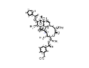 CO[C@H]1CC2C=C[C@]3(C)[C@H]4[C@H](O)[C@@H](C)[C@@H](OC(=O)c5ccc[nH]5)[C@@H]3O[C@@]24/C(C)=C/[C@@H](C)[C@@H]([C@@H](C)OC(=O)c2cccc(CCl)c2)OC1=O